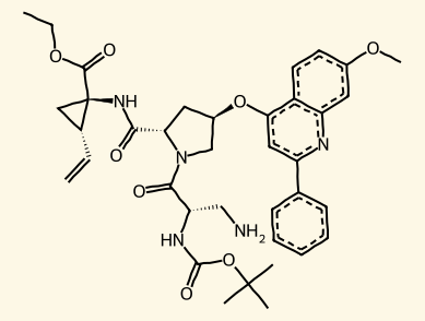 C=C[C@@H]1C[C@]1(NC(=O)[C@@H]1C[C@@H](Oc2cc(-c3ccccc3)nc3cc(OC)ccc23)CN1C(=O)[C@H](CN)NC(=O)OC(C)(C)C)C(=O)OCC